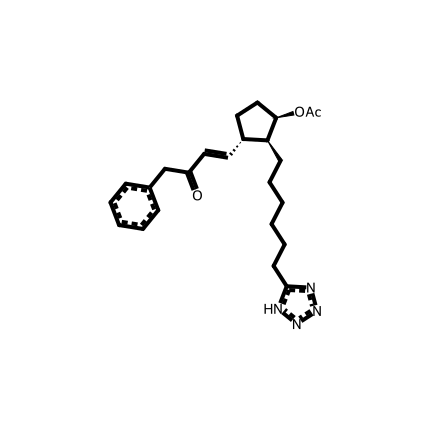 CC(=O)O[C@@H]1CC[C@@H](C=CC(=O)Cc2ccccc2)[C@@H]1CCCCCCc1nnn[nH]1